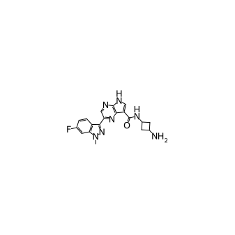 Cn1nc(-c2cnc3[nH]cc(C(=O)NC4CC(N)C4)c3n2)c2ccc(F)cc21